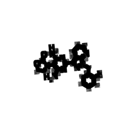 Nc1nc(-c2nn(Cc3ccccc3F)c3ncccc23)nc(N)c1N1CCOC1=O